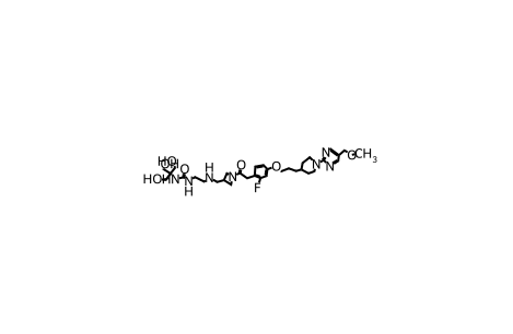 COCc1cnc(N2CCC(CCCOc3ccc(CC(=O)N4CC(CNCCNC(=O)NC(CO)(CO)CO)C4)c(F)c3)CC2)nc1